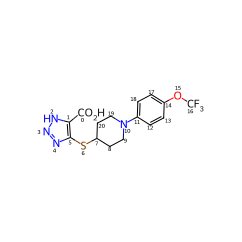 O=C(O)c1[nH]nnc1SC1CCN(c2ccc(OC(F)(F)F)cc2)CC1